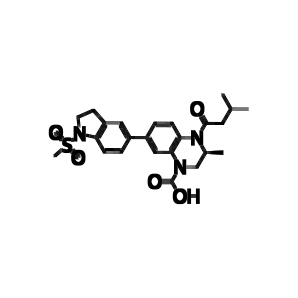 CC(C)CC(=O)N1c2ccc(-c3ccc4c(c3)CCN4S(C)(=O)=O)cc2N(C(=O)O)C[C@@H]1C